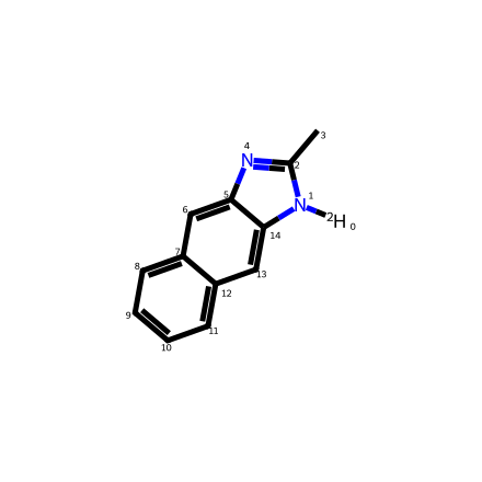 [2H]n1c(C)nc2cc3ccccc3cc21